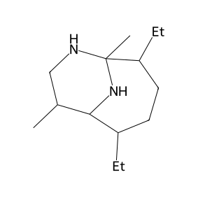 CCC1CCC(CC)C2(C)NCC(C)C1N2